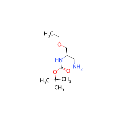 CCOC[C@@H](CN)NC(=O)OC(C)(C)C